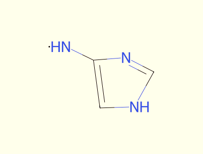 [NH]c1c[nH]cn1